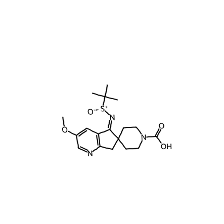 COc1cnc2c(c1)/C(=N\[S@+]([O-])C(C)(C)C)C1(CCN(C(=O)O)CC1)C2